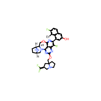 CCc1c(F)ccc2cc(O)cc(-c3nc4c5c(nc(OCC67CCCN6CC(=C(F)F)C7)nc5c3F)N3C[C@H]5CC[C@H](N5)[C@H]3CO4)c12